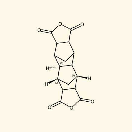 O=C1OC(=O)C2C1C1CC2[C@H]2C1[C@H]1C[C@@H]2C2C(=O)OC(=O)C21